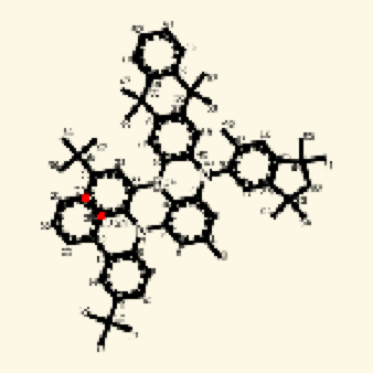 Cc1cc2c3c(c1)N(c1ccc(C(C)(C)C)cc1-c1ccccc1)c1ccc(C(C)(C)C)cc1B3c1cc3c(cc1N2c1cc2c(cc1C)C(C)(C)CC2(C)C)C(C)(C)c1ccccc1C3(C)C